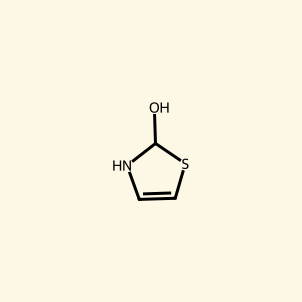 OC1NC=CS1